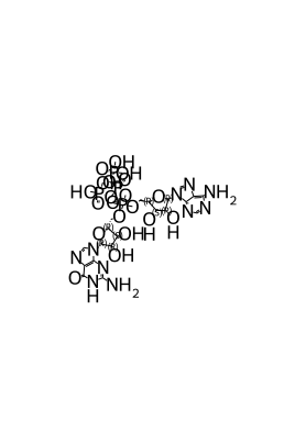 Nc1nc2c(ncn2[C@@H]2O[C@H](COP(=O)(OC[C@H]3O[C@@H](n4cnc5c(N)ncnc54)[C@H](O)[C@@H]3O)OP(=O)(OP(=O)(O)O)OP(=O)(O)O)[C@@H](O)[C@H]2O)c(=O)[nH]1